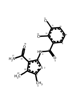 Cc1sc(NC(=O)c2cccc(Cl)c2Cl)c(C(N)=O)c1C